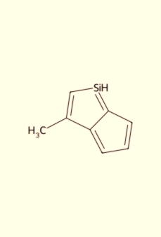 CC1=C[SiH]=C2C=CC=C12